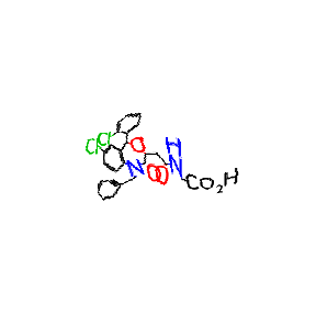 O=C(O)CNC(=O)CC1OC(c2ccccc2Cl)c2cc(Cl)ccc2N(Cc2ccccc2)C1=O